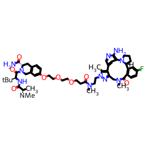 CN[C@@H](C)C(=O)N[C@H](C(=O)N1Cc2cc(OCCOCCOCCC(=O)N(C)CCn3nc4c(c3C)-c3cnc(N)c(c3)N3CCC[C@@H]3c3cc(F)ccc3C(=O)N(C)C4)ccc2C[C@H]1C(N)=O)C(C)(C)C